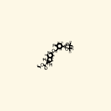 CCOC(=O)[C@H]1[C@@H]2Cc3cc(OCc4cc(B5OC(C)(C)C(C)(C)O5)ccc4F)ncc3[C@@H]21